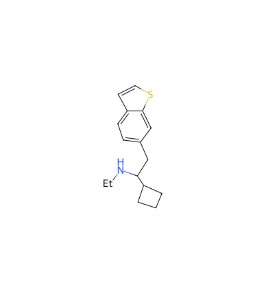 CCNC(Cc1ccc2ccsc2c1)C1CCC1